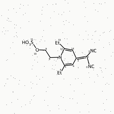 [C-]#[N+]C([N+]#[C-])=C1C=C(CC)N(CCOS(=O)(=O)O)C(CC)=C1